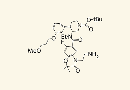 CCN(C(=O)c1cc2c(cc1F)OC(C)(C)C(=O)N2CCN)[C@H]1CN(C(=O)OC(C)(C)C)CC[C@@H]1c1cccc(OCCCOC)c1